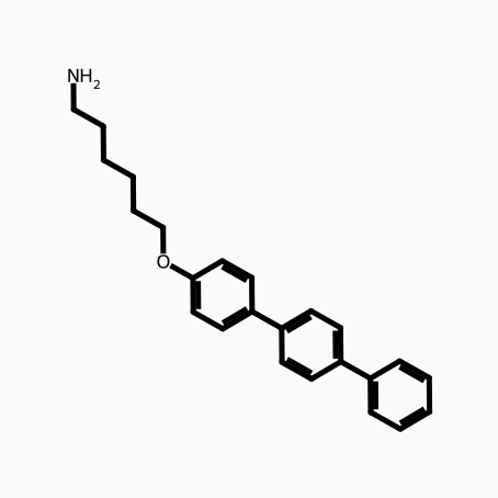 NCCCCCCOc1ccc(-c2ccc(-c3ccccc3)cc2)cc1